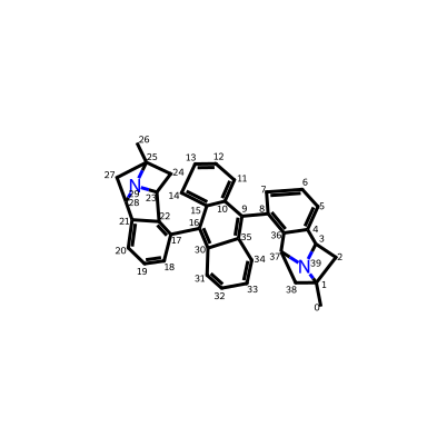 CC12CC3c4cccc(-c5c6ccccc6c(-c6cccc7c6C6CC8(C)CC7N68)c6ccccc56)c4C(C1)N32